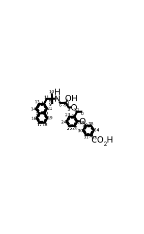 CC(OC[C@@H](O)CNC(C)(C)Cc1ccc2ccccc2c1)c1ccccc1Oc1ccc(C(=O)O)cc1